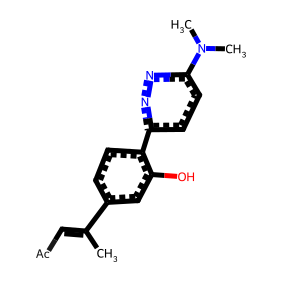 CC(=O)/C=C(\C)c1ccc(-c2ccc(N(C)C)nn2)c(O)c1